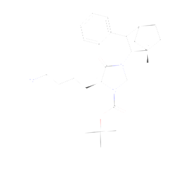 CC(C)(C)OC(=O)N1CN(C2C(c3ccccc3)C3CC[C@H]2C3)C(=O)[C@@H]1CCCCN